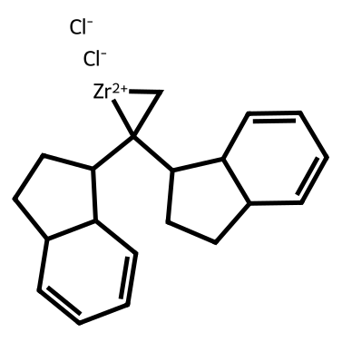 C1=CC2CCC([C]3(C4CCC5C=CC=CC54)[CH2][Zr+2]3)C2C=C1.[Cl-].[Cl-]